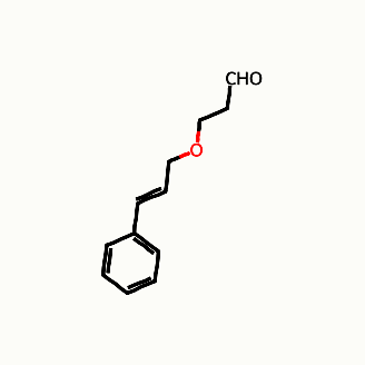 O=CCCOC/C=C/c1ccccc1